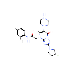 CCc1c(N2CCNCC2)c(=O)n2nc(N3C[C@@H](F)[C@@H](F)C3)nc2n1CC(=O)Nc1ccc(C(F)(F)F)cc1C